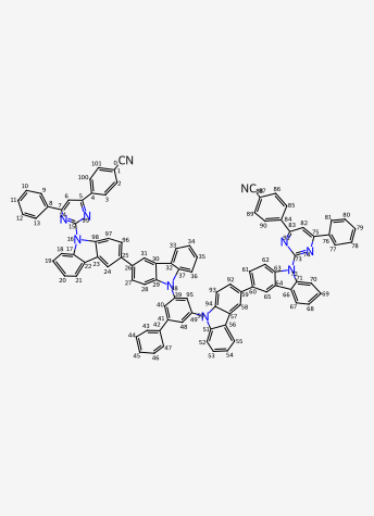 N#Cc1ccc(-c2cc(-c3ccccc3)nc(-n3c4ccccc4c4cc(-c5ccc6c(c5)c5ccccc5n6-c5cc(-c6ccccc6)cc(-n6c7ccccc7c7cc(-c8ccc9c(c8)c8ccccc8n9-c8nc(-c9ccccc9)cc(-c9ccc(C#N)cc9)n8)ccc76)c5)ccc43)n2)cc1